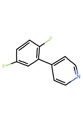 Fc1ccc(F)c(-c2ccncc2)c1